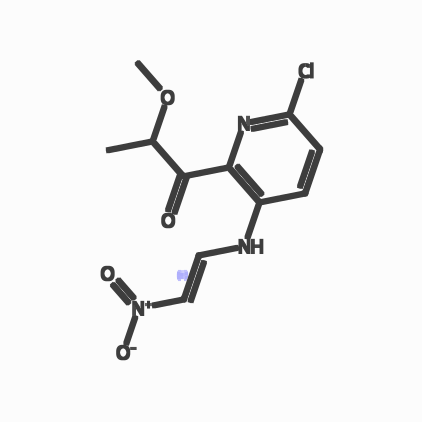 COC(C)C(=O)c1nc(Cl)ccc1N/C=C/[N+](=O)[O-]